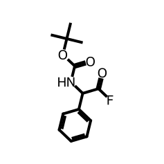 CC(C)(C)OC(=O)NC(C(=O)F)c1ccccc1